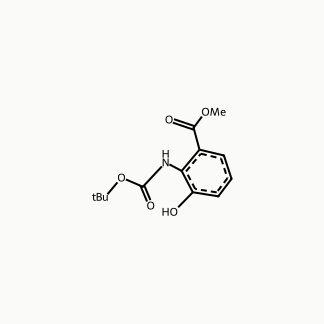 COC(=O)c1cccc(O)c1NC(=O)OC(C)(C)C